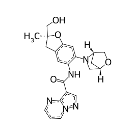 C[C@@]1(CO)Cc2cc(NC(=O)c3cnn4cccnc34)c(N3C[C@@H]4C[C@H]3CO4)cc2O1